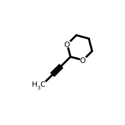 CC#CC1OCCCO1